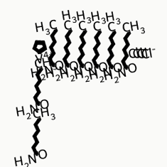 CCCCCCCC(N)=O.CCCCCCCC(N)=O.CCCCCCCC(N)=O.CCCCCCCC(N)=O.CCCCCCCC(N)=O.CCCCCCCC(N)=O.CCCCCCCC(N)=O.CCCCCCCC(N)=O.[Cl-].[Cl-].[Cl-].[Cl-].[V+4][C]1=CC=CC1